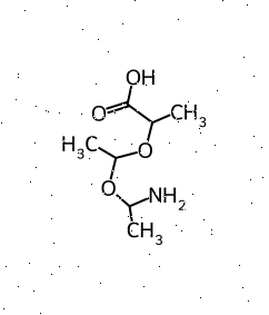 CC(N)OC(C)OC(C)C(=O)O